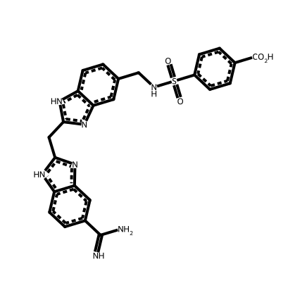 N=C(N)c1ccc2[nH]c(Cc3nc4cc(CNS(=O)(=O)c5ccc(C(=O)O)cc5)ccc4[nH]3)nc2c1